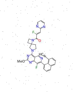 C#Cc1cccc2cccc(-c3ncc4c(N5CCC6(CCN6C(=O)/C(F)=C/c6ncccn6)C5)nc(OC)nc4c3F)c12